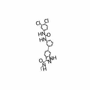 CCNC(=O)c1n[nH]c2cc(-c3cccc(NC(=O)Nc4ccc(Cl)c(Cl)c4)c3)ccc12